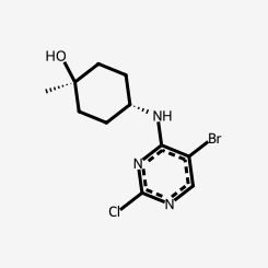 C[C@]1(O)CC[C@H](Nc2nc(Cl)ncc2Br)CC1